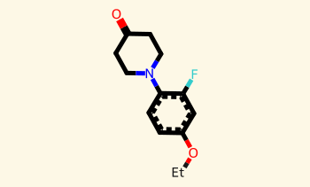 CCOc1ccc(N2CCC(=O)CC2)c(F)c1